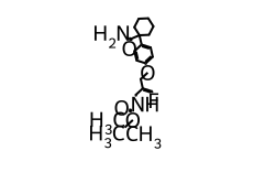 CC(C)(C)OC(=O)NCC(=CF)COc1ccc(C2(C(N)=O)CCCCC2)cc1